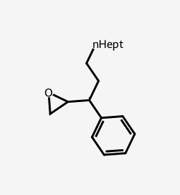 CCCCCCCCC[C](c1ccccc1)C1CO1